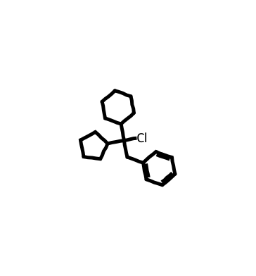 ClC(Cc1ccccc1)(C1CCCCC1)C1CCCC1